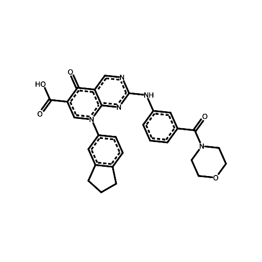 O=C(O)c1cn(-c2ccc3c(c2)CCC3)c2nc(Nc3cccc(C(=O)N4CCOCC4)c3)ncc2c1=O